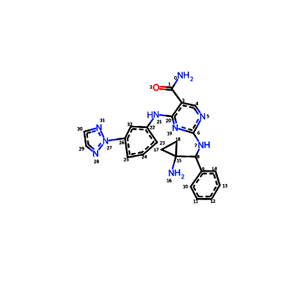 NC(=O)c1cnc(NC(c2ccccc2)C2(N)CC2)nc1Nc1cccc(-n2nccn2)c1